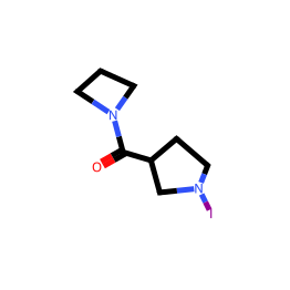 O=C(C1CCN(I)C1)N1CCC1